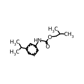 CC(C)COC(=O)Nc1c[c]cc(C(C)C)c1